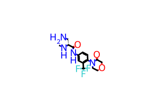 CN[C@H](CN)C(=O)Nc1ccc(N2CCOCC2=O)c(C(F)(F)F)c1